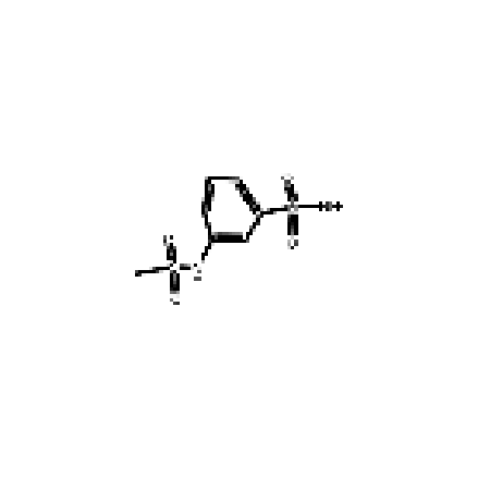 CS(=O)(=O)Nc1cccc(S([NH])(=O)=O)c1